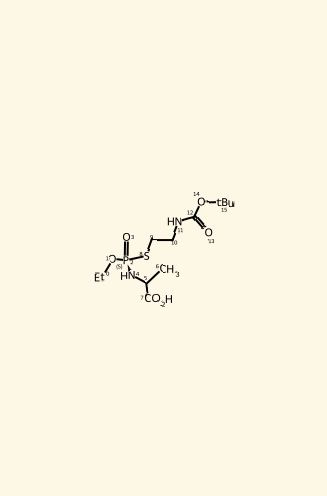 CCO[P@@](=O)(NC(C)C(=O)O)SCCNC(=O)OC(C)(C)C